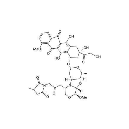 COc1cccc2c1C(=O)c1c(O)c3c(c(O)c1C2=O)C[C@@](O)(C(=O)CO)C[C@@H]3O[C@H]1C[C@H]2[C@H](O[C@@H]3[C@@H](OC)OCC(CC(=O)CN4C(=O)CC(C)C4=O)N32)[C@H](C)O1